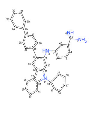 N=C(N)c1cccc(Nc2cc3c(cc2-c2ccc(-c4ccccc4)cc2)c2ccccc2n3-c2ccccc2)c1